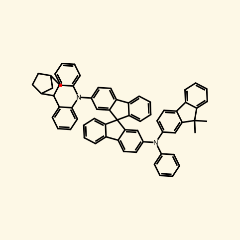 CC1(C)c2ccccc2-c2ccc(N(c3ccccc3)c3ccc4c(c3)C3(c5ccccc5-4)c4ccccc4-c4ccc(N(c5ccccc5)c5ccccc5C5CC6CCC5C6)cc43)cc21